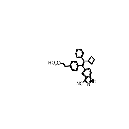 N#Cc1n[nH]c2ccc(C(=C(c3ccccc3)C3CCC3)c3ccc(C=CC(=O)O)cc3)cc12